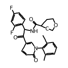 Cc1cccc(C)c1-n1cc(C(=O)C(NC(=O)C2CCOCC2)c2ccc(F)cc2F)ccc1=O